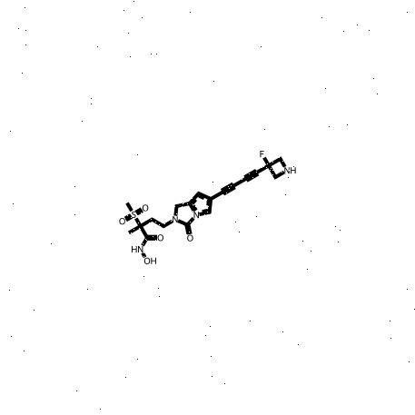 CC(CCN1Cc2cc(C#CC#CC3(F)CNC3)cn2C1=O)(C(=O)NO)S(C)(=O)=O